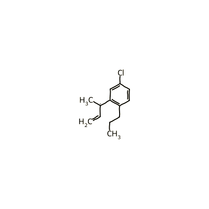 C=C[C](C)c1cc(Cl)ccc1CCC